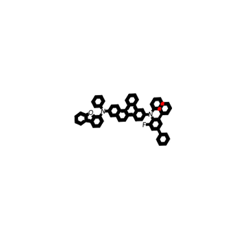 Fc1cc(-c2ccccc2)cc(-c2ccccc2)c1N(c1ccccc1)c1ccc2c(c1)c1ccccc1c1c3ccc(N(c4ccccc4)c4cccc5c4oc4ccccc45)cc3ccc21